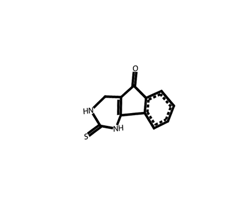 O=C1C2=C(NC(=S)NC2)c2ccccc21